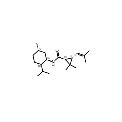 CC(C)=C[C@H]1[C@H](C(=O)N[C@@H]2C[C@@H](C)CC[C@@H]2C(C)C)C1(C)C